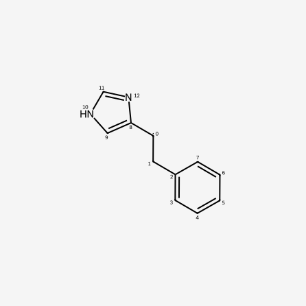 [CH](Cc1ccccc1)c1c[nH]cn1